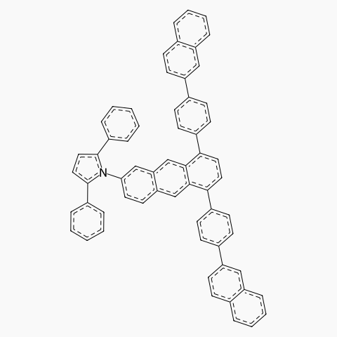 c1ccc(-c2ccc(-c3ccccc3)n2-c2ccc3cc4c(-c5ccc(-c6ccc7ccccc7c6)cc5)ccc(-c5ccc(-c6ccc7ccccc7c6)cc5)c4cc3c2)cc1